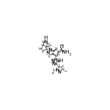 CCn1nc(C)cc1-c1nnc(-c2cc(C(N)=O)cc3c2cnn3CC23CCCC2CNC3)[nH]1